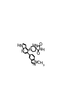 Cn1ncc2cc(-c3cnc4[nH]ccc4c3N3CCC4(CC3)NC(=O)NC4=O)ccc21